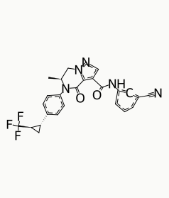 C[C@H]1Cn2ncc(C(=O)Nc3cccc(C#N)c3)c2C(=O)N1c1ccc([C@@H]2C[C@H]2C(F)(F)F)cc1